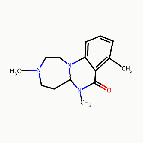 Cc1cccc2c1C(=O)N(C)C1CCN(C)CCN21